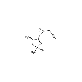 C[C@@H]1OC(C)(C)O[C@@H]1[C@@H]1O[C@H]1CC#N